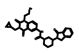 CC(C)CCn1c(=O)n(CC2CC2)c(=O)c2cc(NC(=O)N3CCCC(N4Cc5ccccc5C4=O)C3)ccc21